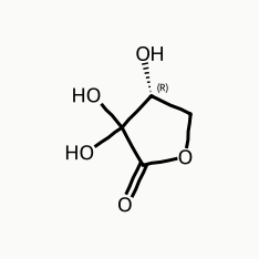 O=C1OC[C@@H](O)C1(O)O